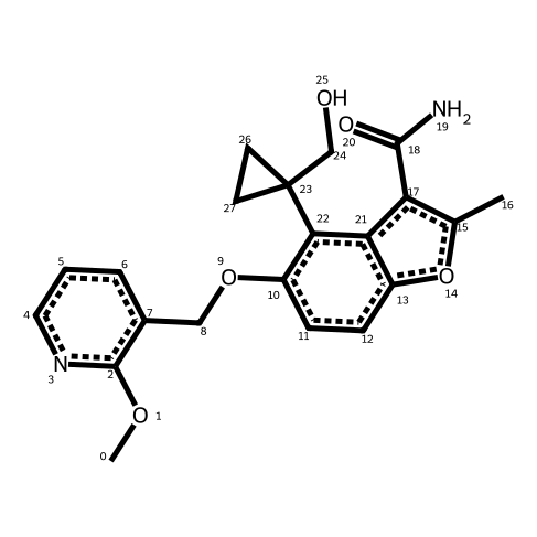 COc1ncccc1COc1ccc2oc(C)c(C(N)=O)c2c1C1(CO)CC1